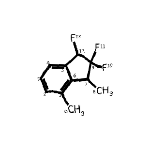 Cc1cccc2c1C(C)C(F)(F)C2F